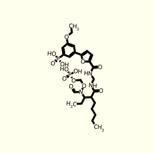 CCCCCC(C(=O)NCNC(=O)c1ccc(-c2cc(OCC)cc(P(=O)(O)O)c2)o1)C(CC)N(C=O)OCOP(=O)(O)O